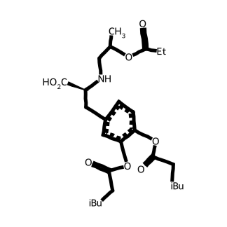 CCC(=O)OC(C)CN[C@@H](Cc1ccc(OC(=O)CC(C)CC)c(OC(=O)CC(C)CC)c1)C(=O)O